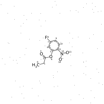 CCC(=O)Oc1cc(F)ccc1[N+](=O)[O-]